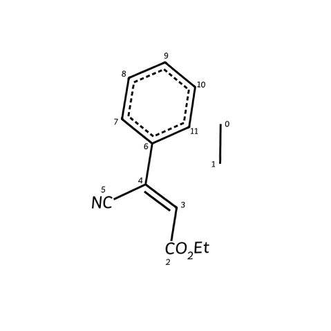 CC.CCOC(=O)C=C(C#N)c1ccccc1